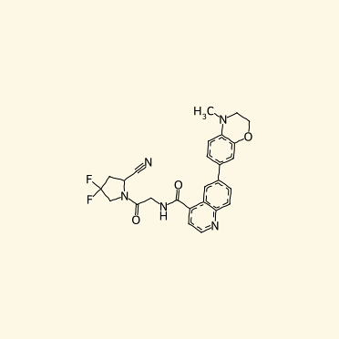 CN1CCOc2cc(-c3ccc4nccc(C(=O)NCC(=O)N5CC(F)(F)CC5C#N)c4c3)ccc21